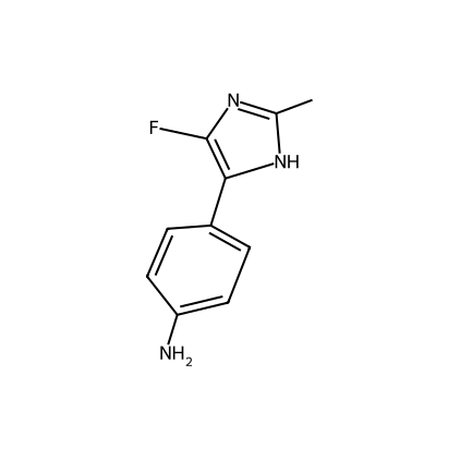 Cc1nc(F)c(-c2ccc(N)cc2)[nH]1